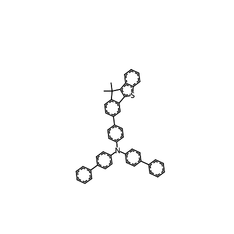 CC1(C)c2ccc(-c3ccc(N(c4ccc(-c5ccccc5)cc4)c4ccc(-c5ccccc5)cc4)cc3)cc2-c2sc3ccccc3c21